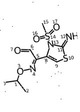 CC(C)ON=C([C]=O)c1csc(=N)n1S(C)(=O)=O